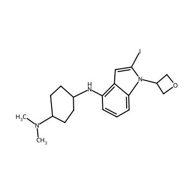 CN(C)C1CCC(Nc2cccc3c2cc(I)n3C2COC2)CC1